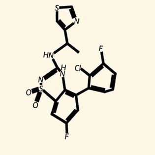 CC(NC1=NS(=O)(=O)c2cc(F)cc(-c3cccc(F)c3Cl)c2N1)c1cscn1